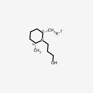 C[C@@H]1CCC[C@H](C)N1CCCO.[I-].[K+]